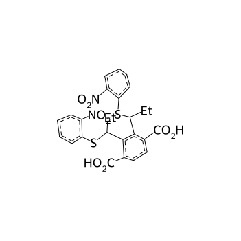 CCC(Sc1ccccc1[N+](=O)[O-])c1c(C(=O)O)ccc(C(=O)O)c1C(CC)Sc1ccccc1[N+](=O)[O-]